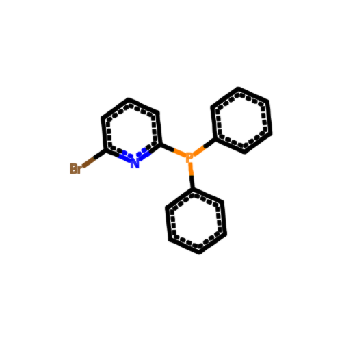 Brc1cccc(P(c2ccccc2)c2ccccc2)n1